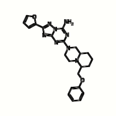 Nc1nc(N2CCN3C(COc4ccccc4)CCCC3C2)nc2nc(-c3ccco3)nn12